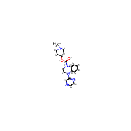 CN1CCC(OC(=O)N2CCN(c3cnccn3)c3ccccc32)CC1